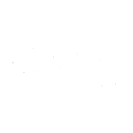 O=C(CC1=CCCCC1)OCc1ccccc1